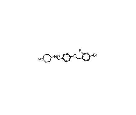 Fc1cc(Br)ccc1COc1ccc(CNC2CCNCC2)cc1